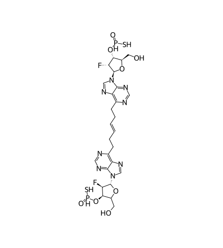 O=[PH](S)O[C@H]1[C@@H](F)[C@H](n2cnc3c(CC/C=C/CCc4ncnc5c4ncn5[C@@H]4OC(CO)[C@@H](O[PH](=O)S)[C@H]4F)ncnc32)O[C@@H]1CO